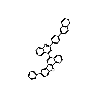 C1=Cc2cc(-c3ccc(-c4nc(-c5cc6c7cc(-c8ccccc8)ccc7oc6c6ccccc56)c5ccccc5n4)cc3)ccc2CC1